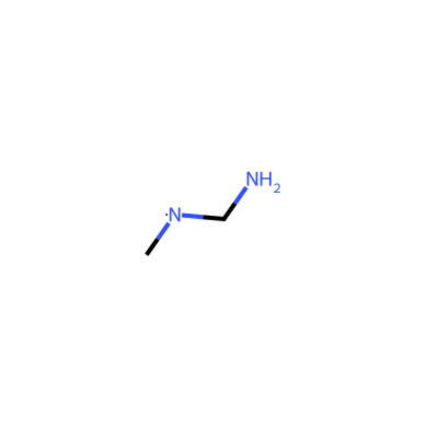 C[N]CN